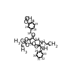 C=CCN(CC1OC2OC(C)(C)OC2C1OCc1cccc(OC)c1)C(=O)Nc1ccccc1